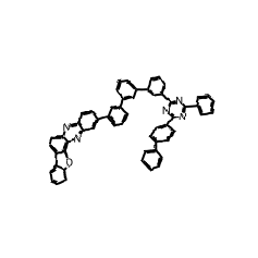 c1ccc(-c2ccc(-c3nc(-c4ccccc4)nc(-c4cccc(-c5cccc(-c6cccc(-c7ccc8nc9ccc%10c%11ccccc%11oc%10c9nc8c7)c6)c5)c4)n3)cc2)cc1